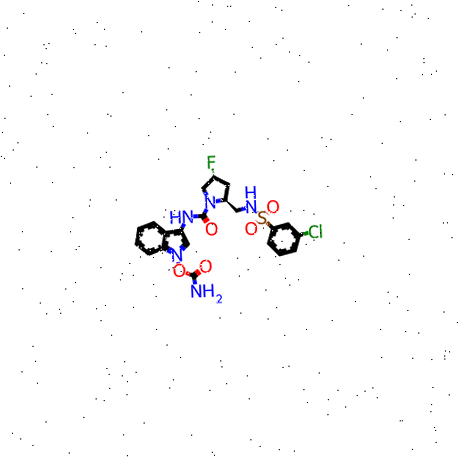 NC(=O)On1cc(NC(=O)N2C[C@H](F)C[C@H]2CNS(=O)(=O)c2cccc(Cl)c2)c2ccccc21